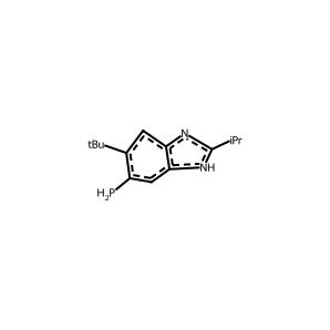 CC(C)c1nc2cc(C(C)(C)C)c(P)cc2[nH]1